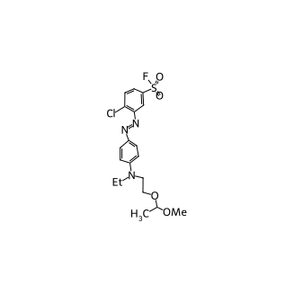 CCN(CCOC(C)OC)c1ccc(N=Nc2cc(S(=O)(=O)F)ccc2Cl)cc1